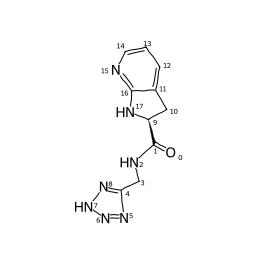 O=C(NCc1nn[nH]n1)[C@@H]1Cc2cccnc2N1